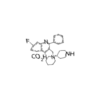 O=C(O)c1c(C[N+]2(C3CCNCC3)CCCCC2)c(-c2ccccc2)nc2cc(F)ccc12